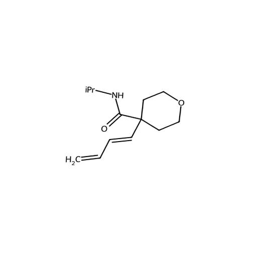 C=C/C=C/C1(C(=O)NC(C)C)CCOCC1